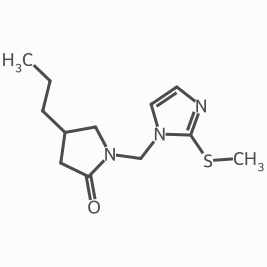 CCCC1CC(=O)N(Cn2ccnc2SC)C1